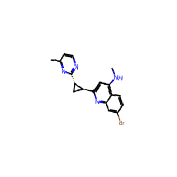 CNc1cc([C@H]2C[C@@H]2c2nccc(C)n2)nc2cc(Br)ccc12